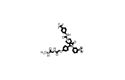 CNC(=O)CNC(=O)COc1ccc(C2N(c3cccc([N+](=O)[O-])c3)C(=O)C23CCN(C(=O)Nc2ccc(C(F)(F)F)cc2)CC3)cc1